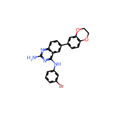 Nc1nc(Nc2cccc(Br)c2)c2cc(-c3ccc4c(c3)OCCO4)ccc2n1